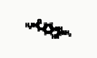 N=C(N)Nc1ccc(CC(N)=O)cc1